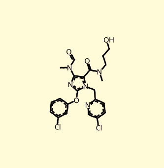 CN(CCCO)C(=O)c1c(N(C)C=O)nc(Oc2cccc(Cl)c2)n1Cc1ccc(Cl)cn1